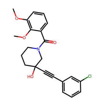 COc1cccc(C(=O)N2CCCC(O)(C#Cc3cccc(Cl)c3)C2)c1OC